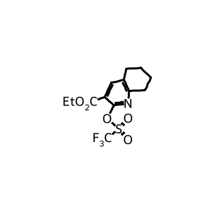 CCOC(=O)c1cc2c(nc1OS(=O)(=O)C(F)(F)F)CCCC2